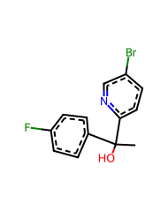 CC(O)(c1ccc(F)cc1)c1ccc(Br)cn1